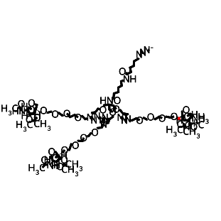 CC(=O)NC1[C@H]2OC[C@](COCCOCCOCCOCCn3cc(COCC(COCc4cn(CCOCCOCCOCCOC[C@@]56CO[C@H](O5)[C@H](NC(C)O)[C@H]5OC(C)(C)O[C@H]56)nn4)(COCc4cn(CCOCCOCCOCCOC[C@@]56CO[C@@H](O5)[C@H](NC(C)=O)[C@H]5OC(C)(C)O[C@H]56)nn4)NC(=O)CCCCCNC(=O)CCCCCN=[N+]=[N-])nn3)(O2)[C@@H]2OC(C)(C)O[C@H]12